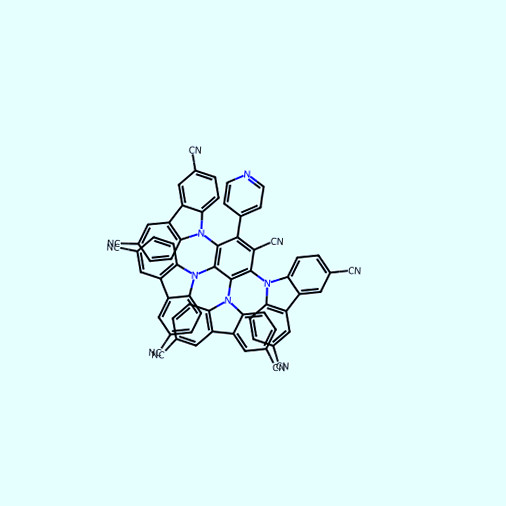 N#Cc1ccc2c(c1)c1cc(C#N)ccc1n2-c1c(C#N)c(-c2ccncc2)c(-n2c3ccc(C#N)cc3c3cc(C#N)ccc32)c(-n2c3ccc(C#N)cc3c3cc(C#N)ccc32)c1-n1c2ccc(C#N)cc2c2cc(C#N)ccc21